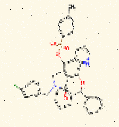 Cc1ccc(S(=O)(=O)Oc2c3c(c(OC(c4ccccc4)c4ccccc4)c4ncccc24)C(=O)N(Cc2ccc(F)cc2)C3)cc1